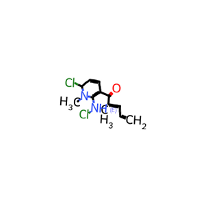 C=C/C=C(\C)C(=O)C1=C(NCl)N(C)C(Cl)C=C1